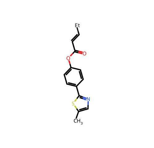 CCC=CC(=O)Oc1ccc(-c2ncc(C)s2)cc1